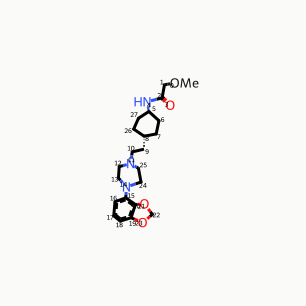 COCC(=O)N[C@H]1CC[C@H](CCN2CCN(c3cccc4c3OCO4)CC2)CC1